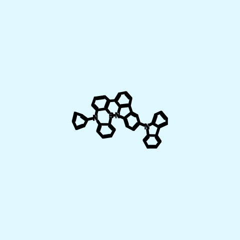 c1ccc(N2c3ccccc3B3c4c(cccc42)-c2cccc4c5cc(-n6c7ccccc7c7ccccc76)ccc5n3c24)cc1